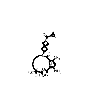 Nc1cc(C(F)(F)F)c2nc1-c1nnc(o1)[C@@](O)(C(F)(F)F)CCCCCN(C1CC3(C1)CN(C(=O)C1CC1)C3)C2=O